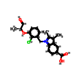 Cc1c(C)n(Cc2cccc(O[C@H](C)C=O)c2Cl)c2ccc(C(=O)O)cc12